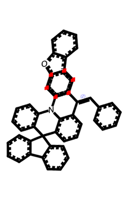 C(=C(\c1ccc2oc3ccccc3c2c1)c1cccc2c1N(c1ccccc1)c1ccccc1C21c2ccccc2-c2ccccc21)/c1ccccc1